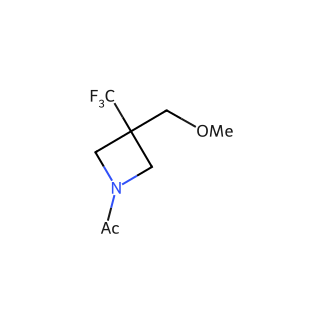 COCC1(C(F)(F)F)CN(C(C)=O)C1